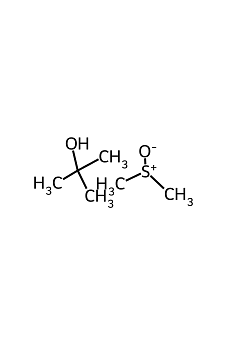 CC(C)(C)O.C[S+](C)[O-]